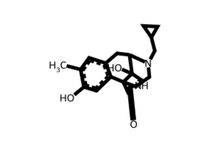 Cc1cc2c(cc1O)C13CCN(CC4CC4)C(C2)C1(O)CCNC(=O)C3